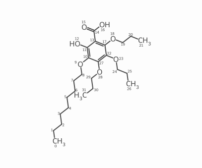 CCCCCCCCCOc1c(O)c(C(=O)O)c(OCCC)c(OCCC)c1OCCC